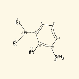 CCN(CC)c1cccc([SiH3])c1C(C)C